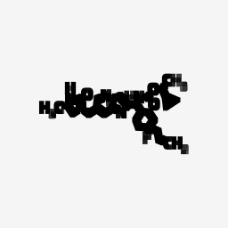 C=CCC1(F)CCC([C@H](NC(=O)OC(C)C2CC2)c2cn3ncc(CN4C[C@@H](C)NC4=O)cc3n2)CC1